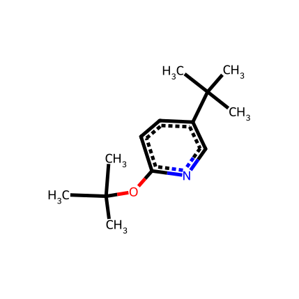 CC(C)(C)Oc1ccc(C(C)(C)C)cn1